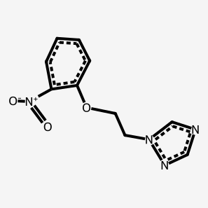 O=[N+]([O-])c1ccccc1OCCn1cncn1